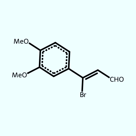 COc1ccc(/C(Br)=C/C=O)cc1OC